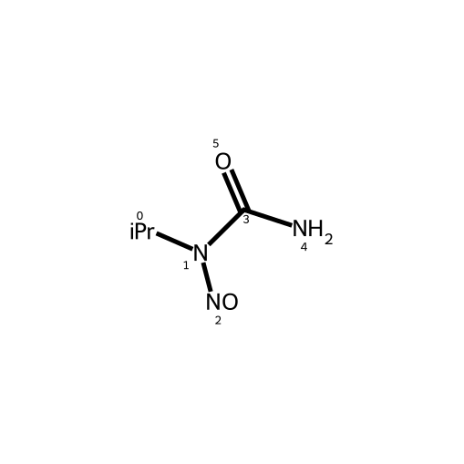 CC(C)N(N=O)C(N)=O